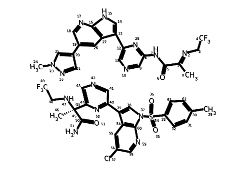 CC(=NCC(F)(F)F)C(=O)Nc1cncc(-c2c[nH]c3ncc(-c4cnn(C)c4)cc23)n1.Cc1ccc(S(=O)(=O)n2cc(-c3cncc([C@](C)(NCC(F)(F)F)C(N)=O)n3)c3cc(Cl)cnc32)cc1